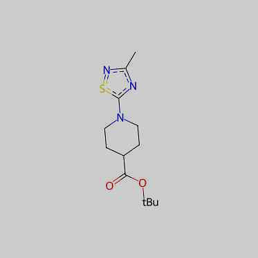 Cc1nsc(N2CCC(C(=O)OC(C)(C)C)CC2)n1